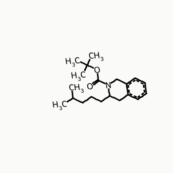 CC(C)CCCC1Cc2ccccc2CN1C(=O)OC(C)(C)C